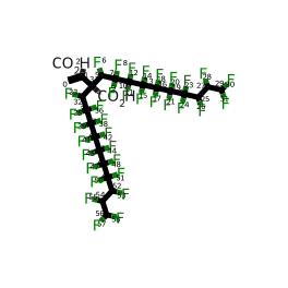 C=C(C(=O)O)C(C(=O)O)(C(F)C(F)(F)C(F)(F)C(F)(F)C(F)(F)C(F)(F)C(F)(F)C(F)C(F)C(F)F)C(F)C(F)(F)C(F)(F)C(F)(F)C(F)(F)C(F)(F)C(F)(F)C(F)C(F)C(F)F